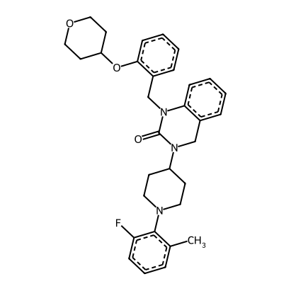 Cc1cccc(F)c1N1CCC(N2Cc3ccccc3N(Cc3ccccc3OC3CCOCC3)C2=O)CC1